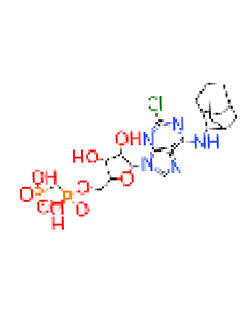 O=P(O)(O)CP(=O)(O)OCC1OC(n2cnc3c(NC4C5CC6CC(C5)CC4C6)nc(Cl)nc32)C(O)C1O